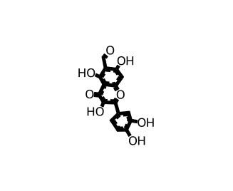 O=Cc1c(O)cc2oc(-c3ccc(O)c(O)c3)c(O)c(=O)c2c1O